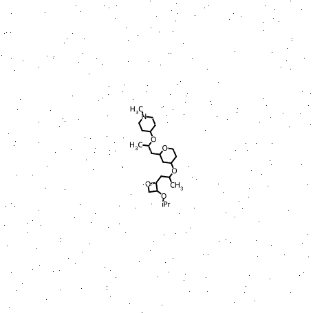 CC(C)OC1COC1CC(C)OC1CCOC(CC(C)OC2CCN(C)CC2)C1